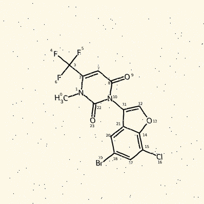 Cn1c(C(F)(F)F)cc(=O)n(-c2coc3c(Cl)cc(Br)cc23)c1=O